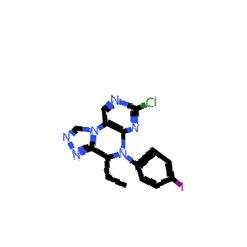 CCC1c2nncn2-c2cnc(Cl)nc2N1c1ccc(I)cc1